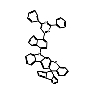 c1ccc(-c2cc(-c3ccc(-n4c5ccccc5c5cc6c(cc54)Sc4ccccc4C64c5ccccc5-c5ccccc54)c4ccccc34)nc(-c3ccccc3)n2)cc1